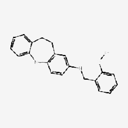 CCOc1ccccc1CNc1ccc2c(c1)CCc1ccccc1N2